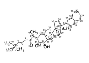 CN(C(=O)CCC[Si](C)(C)O)[C@H]1C[C@@]23CC[C@@]4(O2)C(=CC[C@]2(C)C(c5ccc6ccncc6c5)=CC[C@H]24)C=C3[C@@H](O)[C@@H]1O